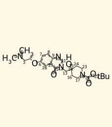 CN(C)CCOc1ccc2ncn(CC3(O)CCN(C(=O)OC(C)(C)C)CC3)c(=O)c2c1